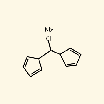 Cl[C](C1C=CC=C1)C1C=CC=C1.[Nb]